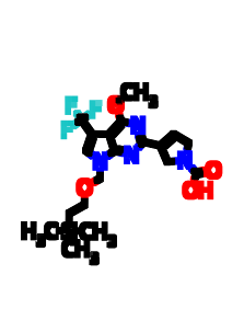 COc1nc(C2=CCN(C(=O)O)C2)nc2c1c(C(F)(F)F)cn2COCC[Si](C)(C)C